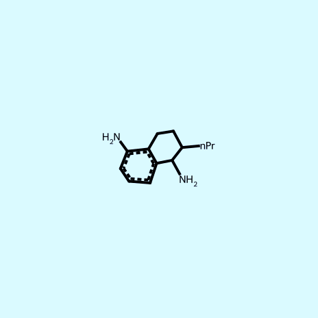 CCCC1CCc2c(N)cccc2C1N